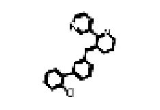 Clc1ccccc1-c1cccc(C=C2CCCN=C2c2cccnc2)c1